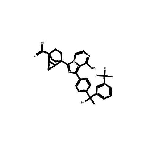 CC(O)(c1ccc(-c2nc(C34CCC(C(=O)O)(CC3)C3CC34)n3ccnc(N)c23)cc1)c1cccc(C(F)(F)F)c1